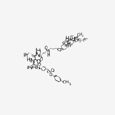 Cc1ccc(OC(=O)OCc2ccc(NC(=O)[C@H](CC(C)C)NC(=O)[C@H](CC(C)C)NC(=O)CCC(=O)NCCCO[C@H]3CC[C@@]4(C)C(=CC[C@H]5[C@@H]6CC[C@H]([C@H](C)CCCC(C)C)[C@@]6(C)CC[C@@H]54)C3)cc2)cc1